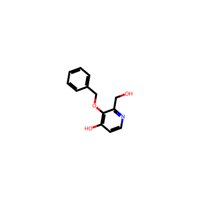 OCc1nccc(O)c1OCc1ccccc1